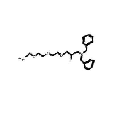 [CH2]COCCOCCOCC(F)CN(Cc1ccccc1)Cc1ccccc1